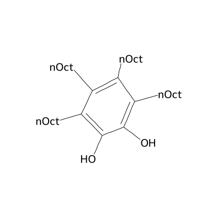 CCCCCCCCc1c(O)c(O)c(CCCCCCCC)c(CCCCCCCC)c1CCCCCCCC